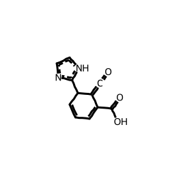 O=C=C1C(C(=O)O)=CC=CC1c1ncc[nH]1